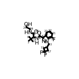 CC(C)(C)C(NC(=O)c1nn(CC2CC(F)(F)C2)c2c(F)cccc12)C(=O)NCCO